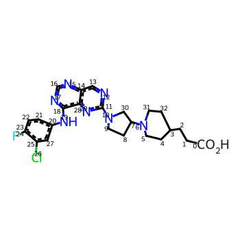 O=C(O)CCC1CCN(C2CCN(c3ncc4ncnc(Nc5ccc(F)c(Cl)c5)c4n3)C2)CC1